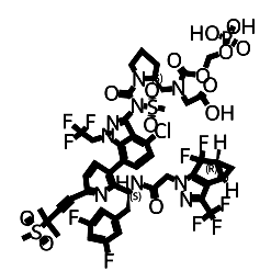 CC(C)(C#Cc1ccc(-c2ccc(Cl)c3c(N(C(=O)N4CCC[C@H]4CN(CC(=O)O)C(=O)OCOP(=O)(O)O)S(C)(=O)=O)nn(CC(F)(F)F)c23)c([C@H](Cc2cc(F)cc(F)c2)NC(=O)Cn2nc(C(F)(F)F)c3c2C(F)(F)[C@@H]2C[C@H]32)n1)S(C)(=O)=O